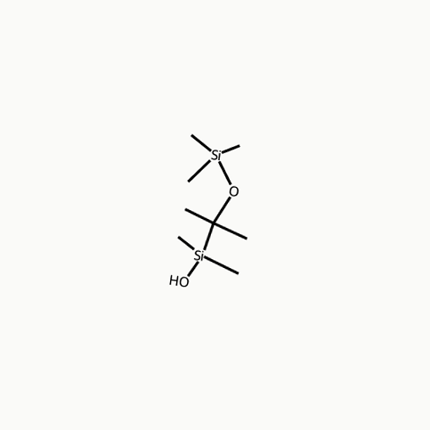 CC(C)(O[Si](C)(C)C)[Si](C)(C)O